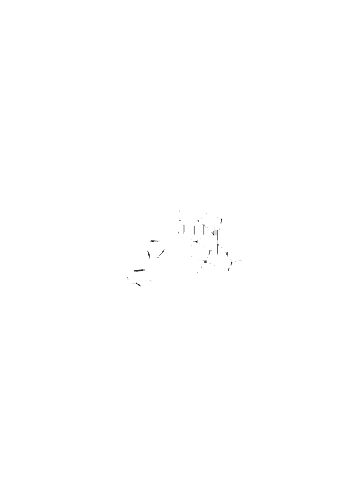 Cc1ncsc1-c1ccc(CNC(=O)C2CCCN2C(=O)C(NC(C)C)C(C)(C)C)cc1